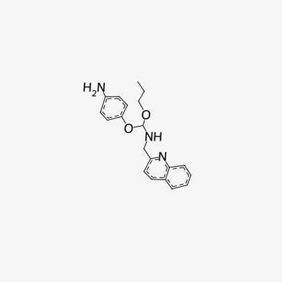 CCCOC(NCc1ccc2ccccc2n1)Oc1ccc(N)cc1